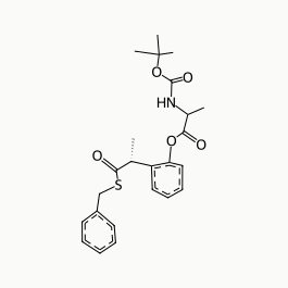 CC(NC(=O)OC(C)(C)C)C(=O)Oc1ccccc1[C@@H](C)C(=O)SCc1ccccc1